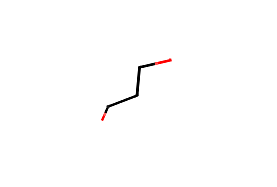 O[CH]C[CH]O